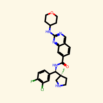 O=C(N[C@H](c1ccc(F)c(Cl)c1)[C@@]1(F)CCNC1)c1ccc2cnc(NC3CCOCC3)nc2c1